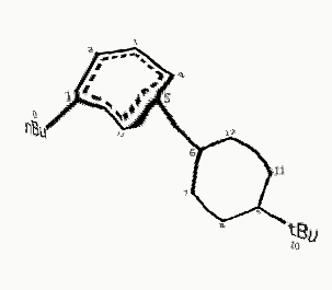 CCCCc1cc[c]c(C2CCC(C(C)(C)C)CC2)c1